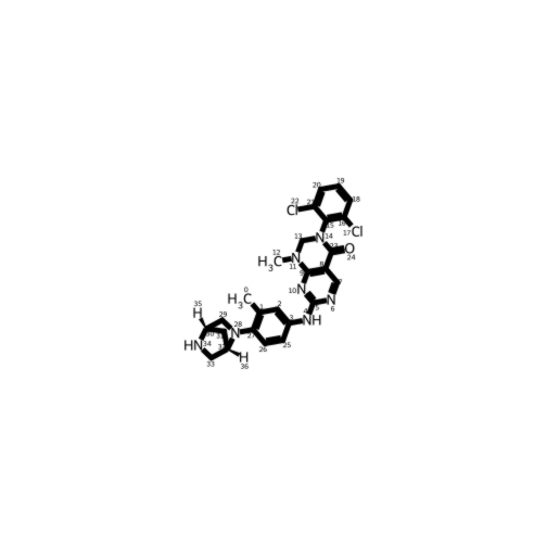 Cc1cc(Nc2ncc3c(n2)N(C)CN(c2c(Cl)cccc2Cl)C3=O)ccc1N1C[C@@H]2C[C@H]1CN2